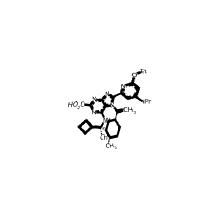 C=C([C@H]1CC[C@H](C)CC1)n1c(-c2cc(C(C)C)cc(OCC)n2)nc2nc(C(=O)O)nc(N[C@H](C)C3CCC3)c21